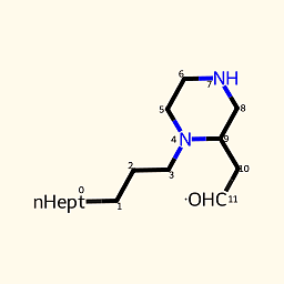 CCCCCCCCCCN1CCNCC1C[C]=O